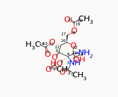 CC(=O)N[C@@]1(O)[C@@H](OC(C)=O)[C@H](OC(C)=O)[C@@H](COC(C)=O)O[C@]1(N)O